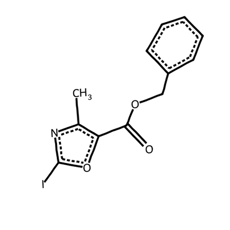 Cc1nc(I)oc1C(=O)OCc1ccccc1